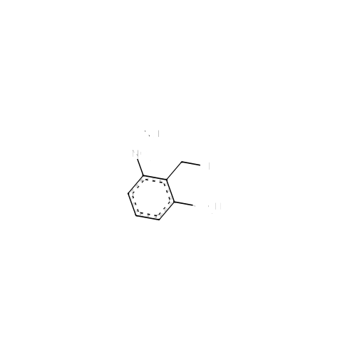 O=C(O)c1cccc([N+](=O)[O-])c1CCl.[NaH]